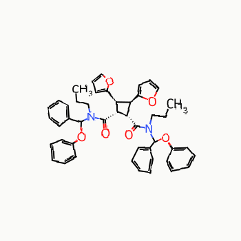 CCCN(C(=O)[C@@H]1[C@H](C(=O)N(CCC)C(Oc2ccccc2)c2ccccc2)[C@@H](c2ccco2)[C@H]1c1ccco1)C(Oc1ccccc1)c1ccccc1